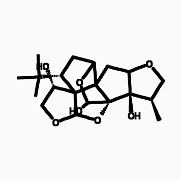 C[C@@H]1COC2CC34C5C[C@@H](C(C)(C)C)C36C(OC[C@@H]6O)O[C@@]4(C(O)O5)[C@]21O